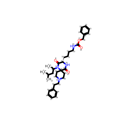 CC(C)CC(C)N1C(=O)[C@H](CCCCNC(=O)OCc2ccccc2)NC(=O)C12CCN(CCc1ccccc1)CC2